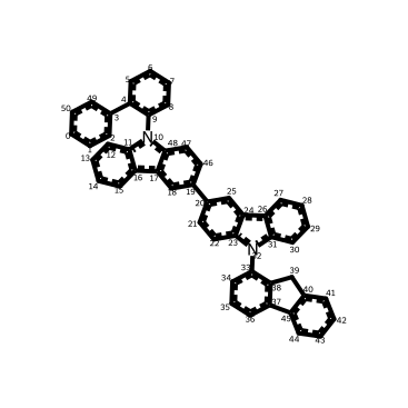 c1ccc(-c2ccccc2-n2c3ccccc3c3cc(-c4ccc5c(c4)c4ccccc4n5-c4cccc5c4Cc4ccccc4-5)ccc32)cc1